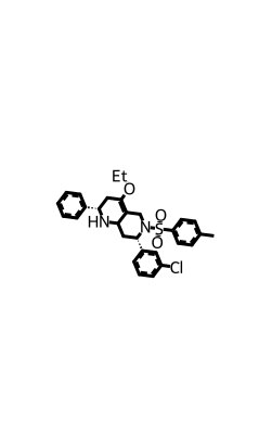 CCOC1=C2CN(S(=O)(=O)c3ccc(C)cc3)[C@H](c3cccc(Cl)c3)CC2N[C@H](c2ccccc2)C1